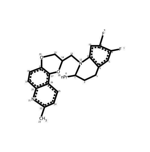 CCCC1CCc2cc(F)c(F)cc2N1CC1COc2ccc3nc(C)ccc3c2O1